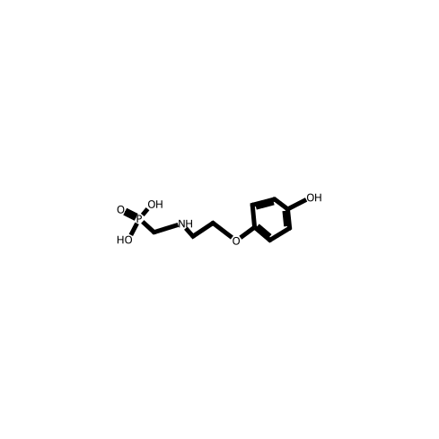 O=P(O)(O)CNCCOc1ccc(O)cc1